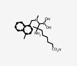 Cc1ccc(CN(C)C(B(O)O)C(C)(N)CCCCCC(=O)O)c2ccccc12